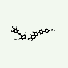 CCCCc1ccc(-c2ccc(-c3cc(F)c4c(F)c(C(F)(F)Oc5cc(F)c(C#Cc6cc(F)c(F)c(F)c6)c(OC)c5)c(F)cc4c3)c(F)c2)cc1